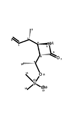 C=C[C@H](C)[C@H]1NC(=O)[C@@H]1[C@@H](C)O[Si](C)(C)C(C)(C)C